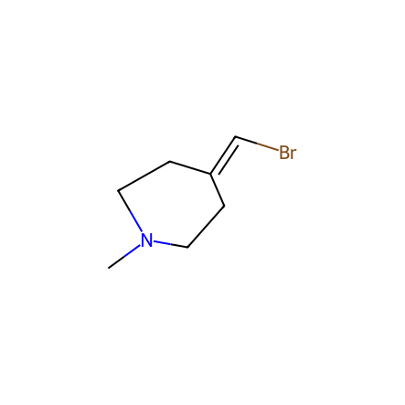 CN1CCC(=CBr)CC1